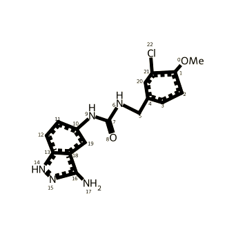 COc1ccc(CNC(=O)Nc2ccc3[nH]nc(N)c3c2)cc1Cl